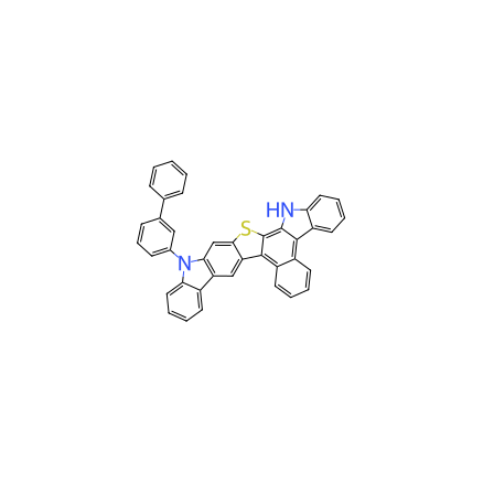 c1ccc(-c2cccc(-n3c4ccccc4c4cc5c(cc43)sc3c4[nH]c6ccccc6c4c4ccccc4c53)c2)cc1